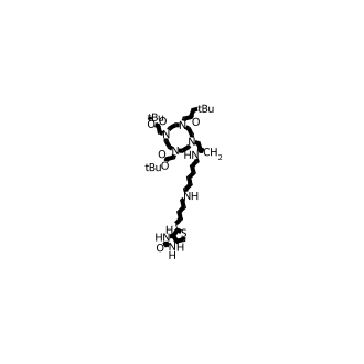 C=C(CN1CCN(CC(=O)CC(C)(C)C)CCN(CC(=O)OC(C)(C)C)CCN(CC(=O)OC(C)(C)C)CC1)NCCCCCCNCCCCC[C@@H]1SC[C@@H]2NC(=O)N[C@@H]21